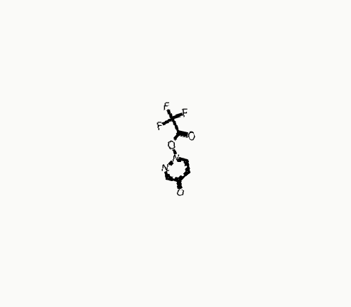 O=C(On1ccc(=O)cn1)C(F)(F)F